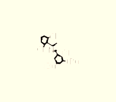 CC(C)(C)c1cc(-c2nc(-c3c(Cl)cccc3Cl)cs2)c(O)c(C(C)(C)C)c1